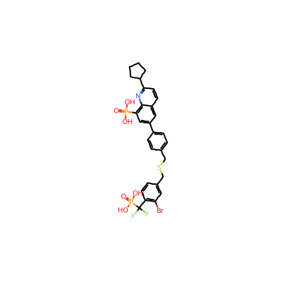 O=P(O)(O)c1cc(-c2ccc(CSCc3ccc(C(F)(F)P(=O)(O)O)c(Br)c3)cc2)cc2ccc(C3CCCC3)nc12